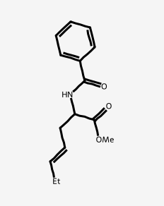 CCC=CCC(NC(=O)c1ccccc1)C(=O)OC